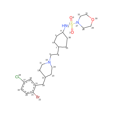 O=S(=O)(NC1CCC(CCN2CCC(Cc3cc(Cl)ccc3Br)CC2)CC1)N1CCOCC1